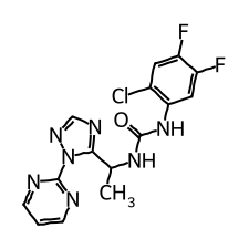 CC(NC(=O)Nc1cc(F)c(F)cc1Cl)c1ncnn1-c1ncccn1